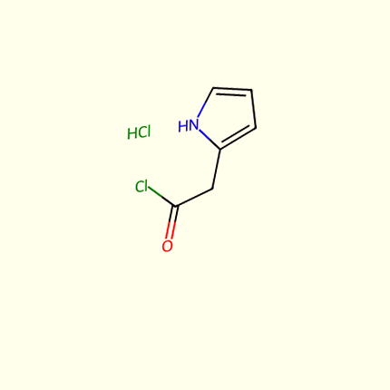 Cl.O=C(Cl)Cc1ccc[nH]1